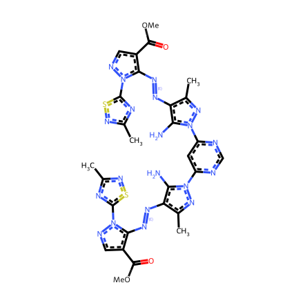 COC(=O)c1cnn(-c2nc(C)ns2)c1/N=N/c1c(C)nn(-c2cc(-n3nc(C)c(/N=N/c4c(C(=O)OC)cnn4-c4nc(C)ns4)c3N)ncn2)c1N